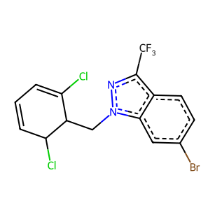 FC(F)(F)c1nn(CC2C(Cl)=CC=CC2Cl)c2cc(Br)ccc12